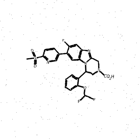 CS(=O)(=O)c1ccc(-c2cc3c(cc2F)nc2n3C(c3ccccc3OC(F)F)CN(C(=O)O)C2)cn1